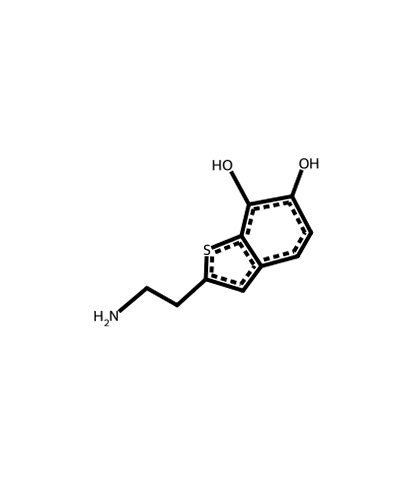 NCCc1cc2ccc(O)c(O)c2s1